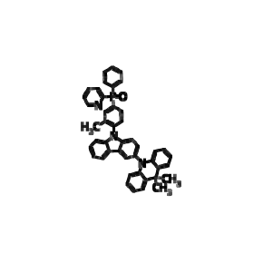 Cc1cc(P(=O)(c2ccccc2)c2ccccn2)ccc1-n1c2ccccc2c2cc(N3c4ccccc4C(C)(C)c4ccccc43)ccc21